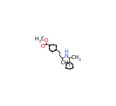 COC(=O)c1ccc(CCC(C)NC(C)c2ccccc2)cc1